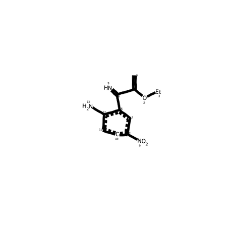 C=C(OCC)C(=N)c1cc([N+](=O)[O-])ccc1N